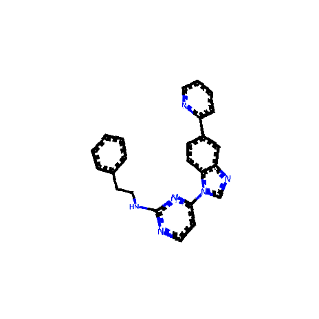 c1ccc(CCNc2nccc(-n3cnc4cc(-c5ccccn5)ccc43)n2)cc1